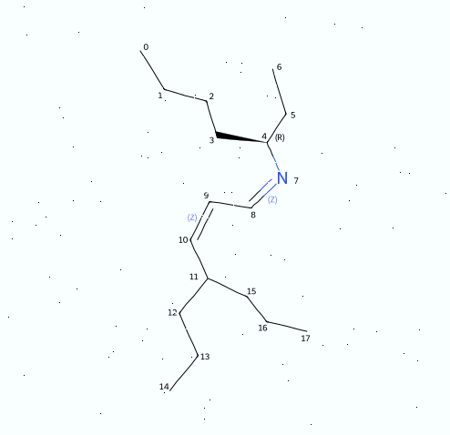 CCCC[C@@H](CC)/N=C\C=C/C(CCC)CCC